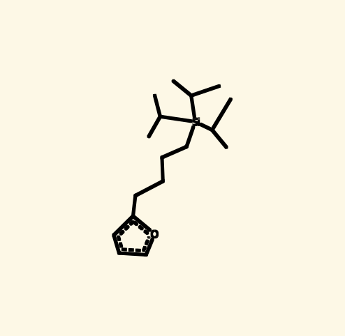 CC(C)[Si](CCCCc1ccco1)(C(C)C)C(C)C